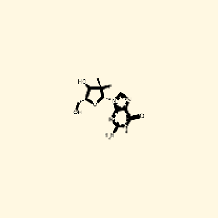 C[C@]1(F)C(O)[C@@H](CO)O[C@H]1n1cnc2c(=O)[nH]c(N)nc21